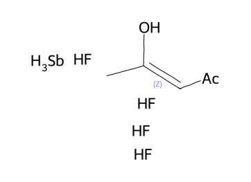 CC(=O)/C=C(/C)O.F.F.F.F.[SbH3]